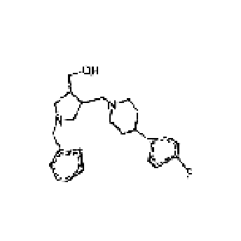 OCC1CN(Cc2ccccc2)CC1CN1CCC(c2ccc(F)cc2)CC1